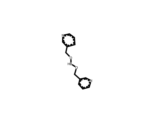 B(OCc1cccnc1)OCc1cccnc1